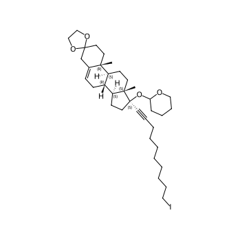 C[C@]12CCC3(CC1=CC[C@@H]1[C@@H]2CC[C@@]2(C)[C@H]1CC[C@]2(C#CCCCCCCCCI)OC1CCCCO1)OCCO3